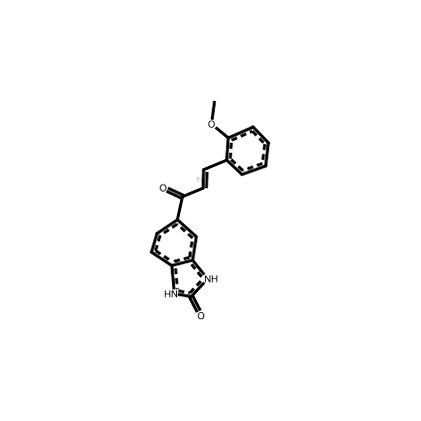 COc1ccccc1/C=C/C(=O)c1ccc2[nH]c(=O)[nH]c2c1